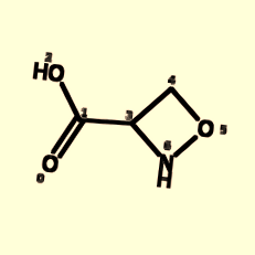 O=C(O)C1CON1